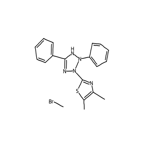 CBr.Cc1nc(N2N=C(c3ccccc3)NN2c2ccccc2)sc1C